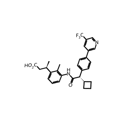 Cc1c(NC(=O)[C@H](c2ccc(-c3cncc(C(F)(F)F)c3)cc2)C2CCC2)cccc1[C@H](C)CC(=O)O